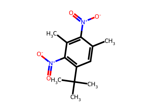 Cc1cc(C(C)(C)C)c([N+](=O)[O-])c(C)c1[N+](=O)[O-]